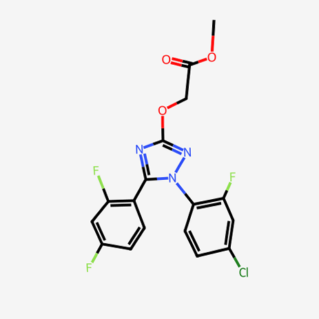 COC(=O)COc1nc(-c2ccc(F)cc2F)n(-c2ccc(Cl)cc2F)n1